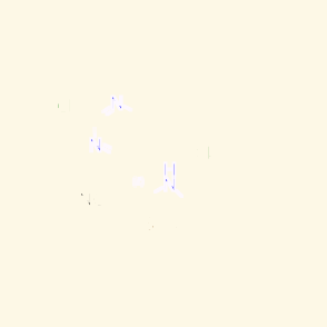 N#C/C(=C1/NC(c2ccccc2Cl)=CS1)c1ccnc(Cl)n1